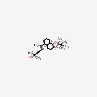 C[C@H](CC#CC(C)(C)O)C1=CCC[C@H]2[C@@H](O[Si](C)(C)C(C)(C)C)CCC[C@]12C